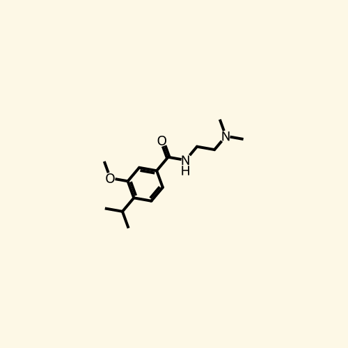 COc1cc(C(=O)NCCN(C)C)ccc1C(C)C